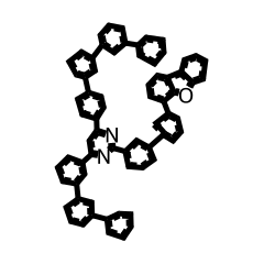 c1ccc(-c2cccc(-c3cccc(-c4ccc(-c5cc(-c6cccc(-c7cccc(-c8ccccc8)c7)c6)nc(-c6cccc(-c7cccc(-c8cccc9c8oc8ccccc89)c7)c6)n5)cc4)c3)c2)cc1